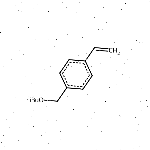 C=Cc1ccc(COCC(C)C)cc1